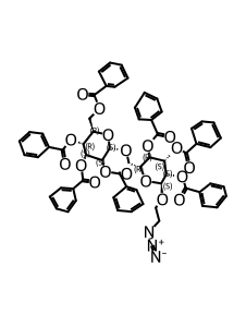 [N-]=[N+]=NCCO[C@H]1O[C@H](CO[C@H]2O[C@H](COC(=O)c3ccccc3)[C@@H](OC(=O)c3ccccc3)[C@H](OC(=O)c3ccccc3)[C@@H]2OC(=O)c2ccccc2)[C@@H](OC(=O)c2ccccc2)[C@H](OC(=O)c2ccccc2)[C@@H]1OC(=O)c1ccccc1